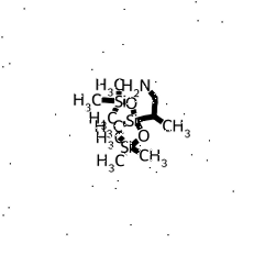 CC(CN)[Si](C)(O[Si](C)(C)C)O[Si](C)(C)C